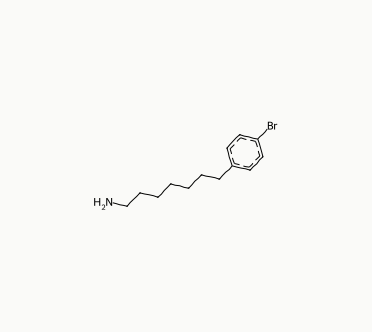 NCCCCCCCc1ccc(Br)cc1